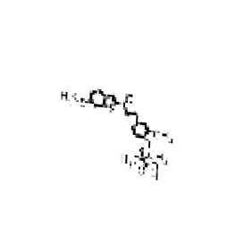 CSc1ccc2cc(C(=O)/C=C/c3ccc(OCC(C)(C)C(=O)O)c(C)c3)sc2c1